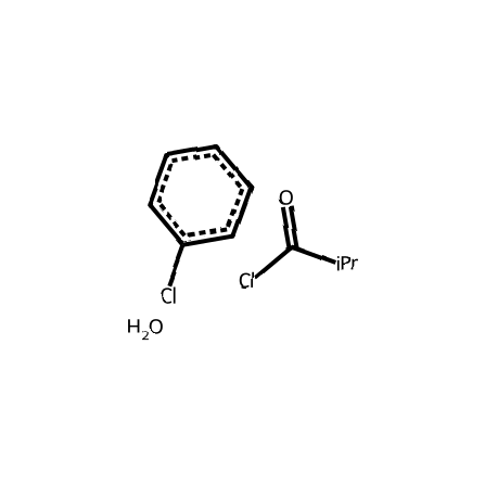 CC(C)C(=O)Cl.Clc1ccccc1.O